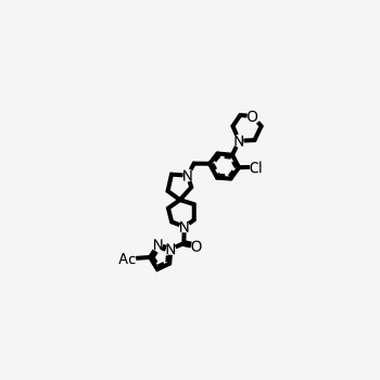 CC(=O)c1ccn(C(=O)N2CCC3(CCN(Cc4ccc(Cl)c(N5CCOCC5)c4)C3)CC2)n1